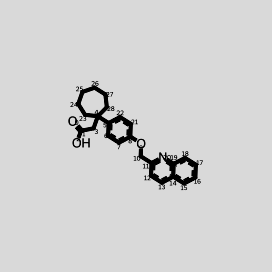 O=C(O)CC1(c2ccc(OCc3ccc4ccccc4n3)cc2)CCCCCC1